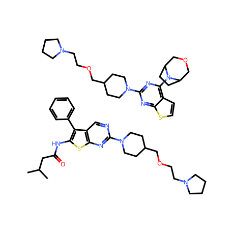 CC(C)CC(=O)Nc1sc2nc(N3CCC(COCCN4CCCC4)CC3)ncc2c1-c1ccccc1.c1cc2c(N3C4CCC3COC4)nc(N3CCC(COCCN4CCCC4)CC3)nc2s1